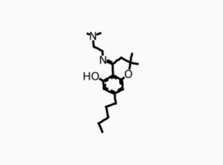 CCCCCc1cc(O)c2c(c1)OC(C)(C)CC2=NCCN(C)C